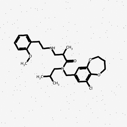 COc1ccccc1CCNCC(C)C(=O)N(Cc1cc(Cl)c2c(c1)OCCCO2)CC(C)C